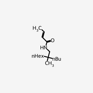 C/C=C/C(=O)NCC(C)(CCCC)CCCCCC